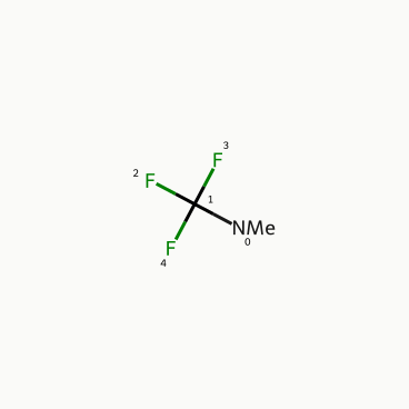 CNC(F)(F)F